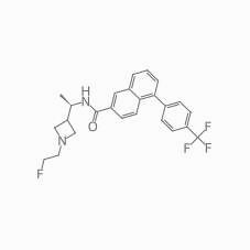 C[C@@H](NC(=O)c1ccc2c(-c3ccc(C(F)(F)F)cc3)cccc2c1)C1CN(CCF)C1